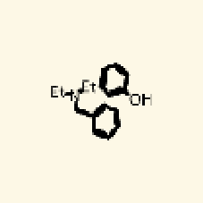 CCN(CC)Cc1ccccc1.Oc1ccccc1